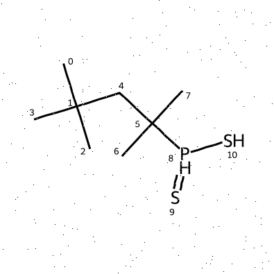 CC(C)(C)CC(C)(C)[PH](=S)S